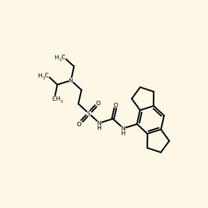 CCN(CCS(=O)(=O)NC(=O)Nc1c2c(cc3c1CCC3)CCC2)C(C)C